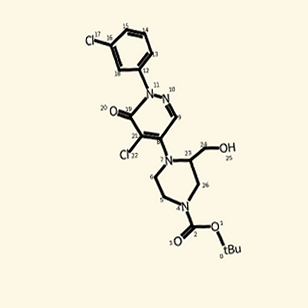 CC(C)(C)OC(=O)N1CCN(c2cnn(-c3cccc(Cl)c3)c(=O)c2Cl)C(CO)C1